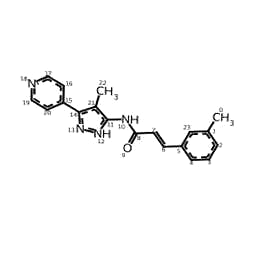 Cc1cccc(C=CC(=O)Nc2[nH]nc(-c3ccncc3)c2C)c1